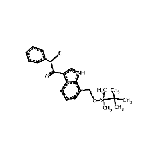 CC(C)(C)[Si](C)(C)OCc1cccc2c(C(=O)C(Cl)c3ccccc3)c[nH]c12